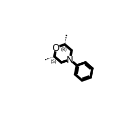 C[C@@H]1CN(c2ccccc2)C[C@H](C)O1